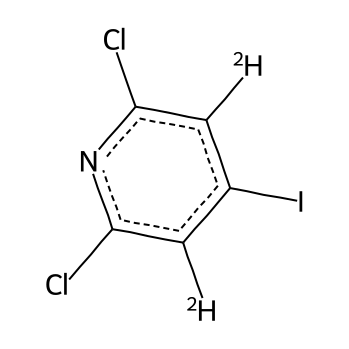 [2H]c1c(Cl)nc(Cl)c([2H])c1I